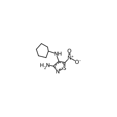 Nc1nsc([N+](=O)[O-])c1NC1CCCCC1